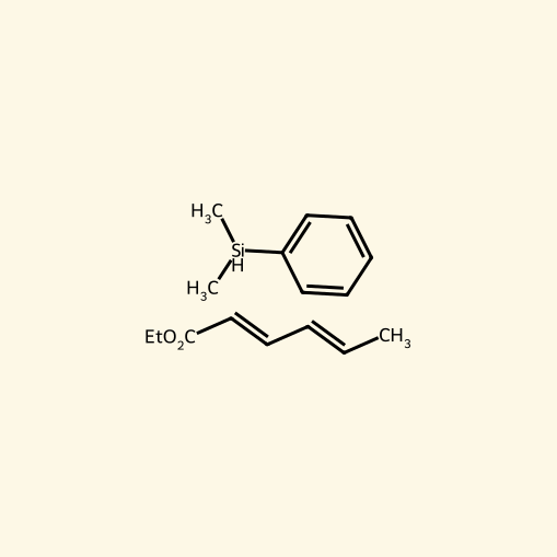 C/C=C/C=C/C(=O)OCC.C[SiH](C)c1ccccc1